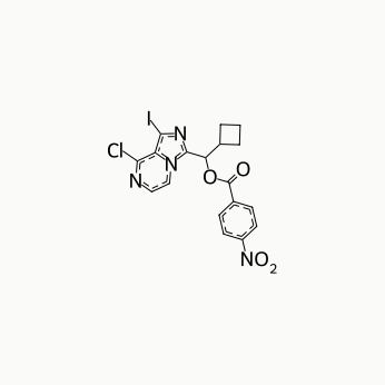 O=C(OC(c1nc(I)c2c(Cl)nccn12)C1CCC1)c1ccc([N+](=O)[O-])cc1